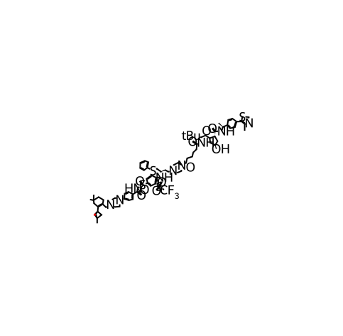 Cc1ncsc1-c1ccc([C@H](C)NC(=O)[C@@H]2C[C@@H](O)CC2C(=O)[C@@H](NC(=O)CCCCC(=O)N2CCN(CC[C@H](CSc3ccccc3)Nc3ccc(S(=O)(=O)NC(=O)c4ccc(N5CCN(CC6=C(C78CC(C)(C7)C8)CC(C)(C)CC6)CC5)cc4)cc3S(=O)(=O)C(F)(F)F)CC2)C(C)(C)C)cc1